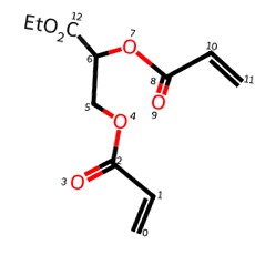 C=CC(=O)OCC(OC(=O)C=C)C(=O)OCC